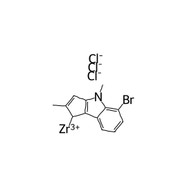 CC1=Cc2c(c3cccc(Br)c3n2C)[CH]1[Zr+3].[Cl-].[Cl-].[Cl-]